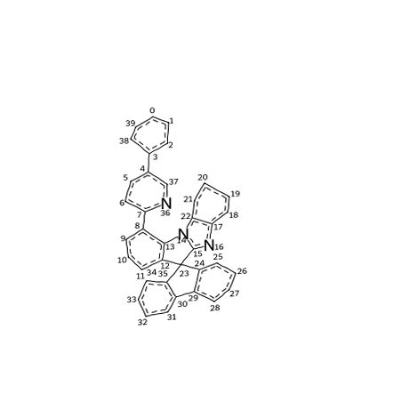 c1ccc(-c2ccc(-c3cccc4c3-n3c(nc5ccccc53)C43c4ccccc4-c4ccccc43)nc2)cc1